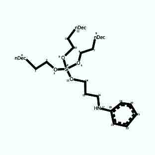 CCCCCCCCCCCCO[Si](OCCCCCCCCCCCC)(OCCCCCCCCCCCC)OCCCNc1ccccc1